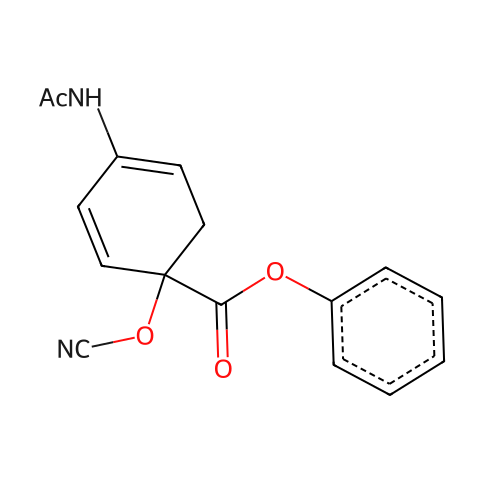 CC(=O)NC1=CCC(OC#N)(C(=O)Oc2ccccc2)C=C1